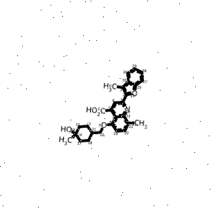 Cc1c(-c2cc(C(=O)O)c3c(OCC4CCC(C)(O)CC4)ccc(C)c3n2)oc2ccccc12